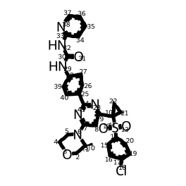 C[C@H]1COCCN1c1cc(C2(S(=O)(=O)c3ccc(Cl)cc3)CC2)nc(-c2ccc(NC(=O)Nc3ccccn3)cc2)n1